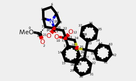 COC(=O)[C@@H]1C2CCC(C[C@@H]1OC(=O)c1ccccc1)N2C(=O)CCCSC(c1ccccc1)(c1ccccc1)c1ccccc1